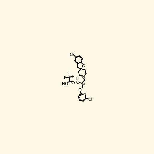 O=C(O)C(F)(F)F.O[C@H](COc1cccc(Cl)n1)CN1CCC2(CC1)Cc1cc(Cl)ccc1O2